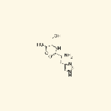 C[C@H](O)[C@@H](NC(=O)[C@H](N)Cc1c[nH]cn1)C(=O)O